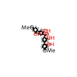 COc1ccc(-c2ccc(C(=O)c3ccc(-c4ccc(OC)cc4O)cc3O)c(O)c2)c(O)c1